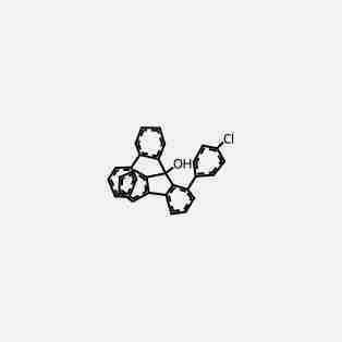 OC1(c2ccccc2-c2ccccc2)c2ccccc2-c2cccc(-c3ccc(Cl)cc3)c21